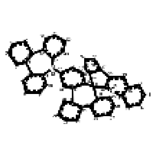 c1ccc2c(c1)-c1ccccc1N(c1ccc3c(c1)-c1ccccc1-c1ccccc1C31c3ccccc3-c3cc4ccccc4cc31)c1ccccc1-2